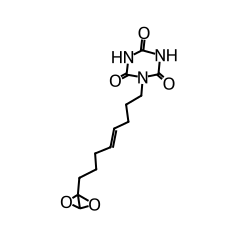 O=c1[nH]c(=O)n(CCCC=CCCCC23OC2O3)c(=O)[nH]1